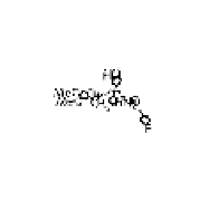 COc1cc2c(cc1OC)C(C)N(CCCCC(CCCNC(=O)CCc1ccc(F)cc1)(c1ccccc1)c1ccccc1)CC2.Cl